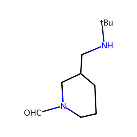 CC(C)(C)NCC1CCCN(C=O)C1